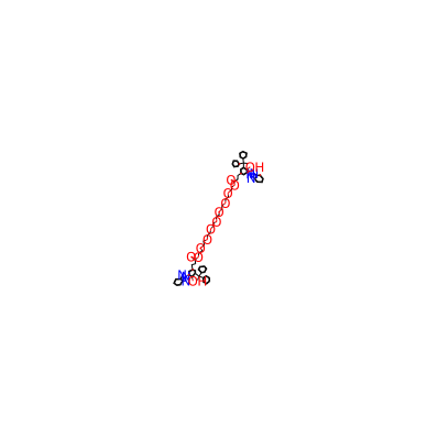 CC(c1ccccc1)(c1ccccc1)c1cc(CCC(=O)OCCOCCOCCOCCOCCOCCOCCOCCOC(=O)CCc2cc(-n3nc4ccccc4n3)c(O)c(C(C)(c3ccccc3)c3ccccc3)c2)cc(-n2nc3ccccc3n2)c1O